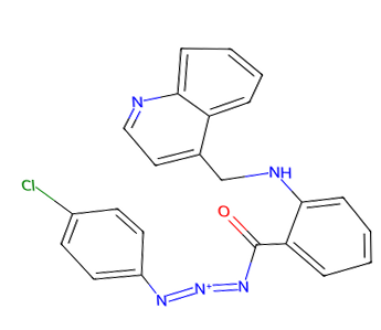 O=C(N=[N+]=Nc1ccc(Cl)cc1)c1ccccc1NCc1ccnc2ccccc12